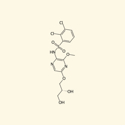 COc1nc(OC[C@H](O)CO)cnc1NS(=O)(=O)c1cccc(Cl)c1Cl